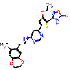 CCOc1cc(-c2cc(NCCc3cc4c(cc3C)OCCO4)ncn2)sc1-c1noc(=O)[nH]1